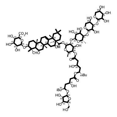 CC[C@@H](C)C(C[C@@H](O)CC(=O)O[C@@H]1[C@H](O)[C@@H](O[C@@H]2O[C@@H](C)[C@H](O[C@@H]3OC[C@@H](O)[C@H](O[C@@H]4OC[C@@H](O)[C@H](O)C4O)C3O)C(O)[C@H]2O)[C@H](OC(=O)[C@]23CCC(C)(C)C[C@@]2(C)C2=CCC4[C@@]5(C)CC[C@H](O[C@@H]6O[C@H](C(=O)O)[C@@H](O)[C@H](O)[C@H]6O)[C@@](C)(C=O)C5CC[C@@]4(C)[C@]2(C)C[C@H]3O)O[C@@H]1C)OC(=O)C[C@H](O)CC(O[C@H]1O[C@H](CO)[C@@H](O)[C@@H]1O)[C@H](C)CC